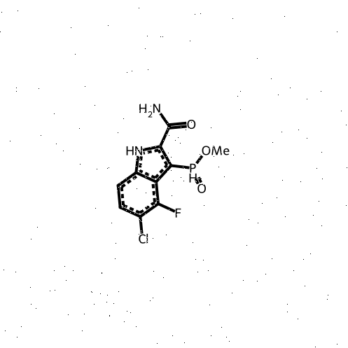 CO[PH](=O)c1c(C(N)=O)[nH]c2ccc(Cl)c(F)c12